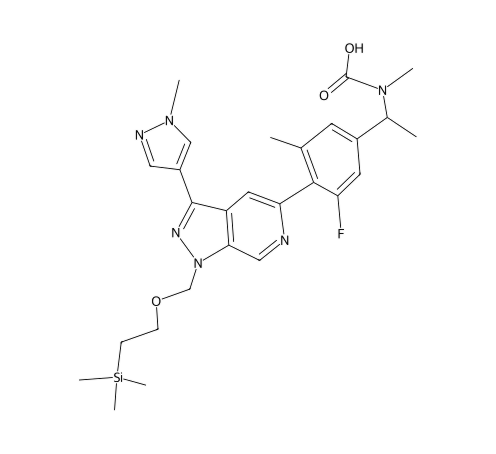 Cc1cc(C(C)N(C)C(=O)O)cc(F)c1-c1cc2c(-c3cnn(C)c3)nn(COCC[Si](C)(C)C)c2cn1